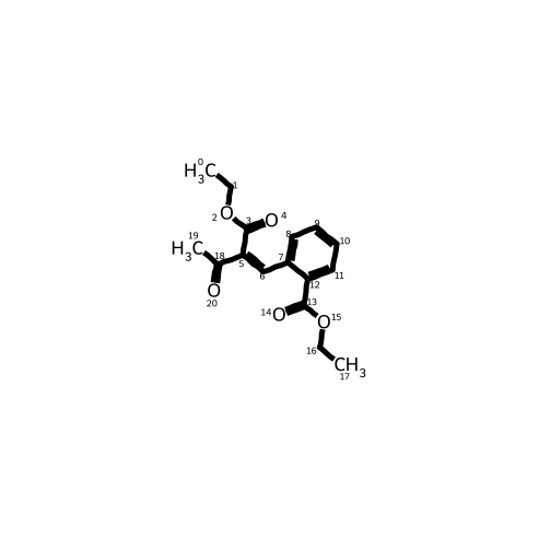 CCOC(=O)C(=Cc1ccccc1C(=O)OCC)C(C)=O